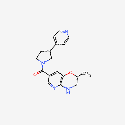 C[C@H]1CNc2ncc(C(=O)N3CCC(c4ccncc4)C3)cc2O1